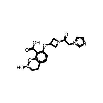 O=C(O)c1c(OC2CN(C(=O)Cn3ccnc3)C2)ccc2c1OB(O)CC2